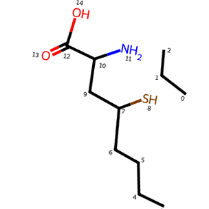 CCC.CCCCC(S)CC(N)C(=O)O